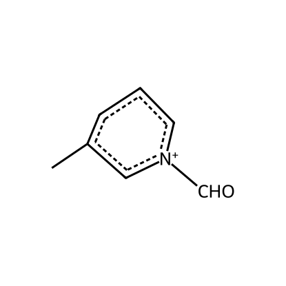 Cc1ccc[n+](C=O)c1